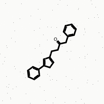 O=C(CCC1=CCC(c2ccccc2)=C1)Cc1ccccc1